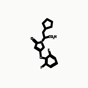 O=C(O)C(CC1CCCC1)N1CC(Oc2c(F)cccc2F)=CC1=O